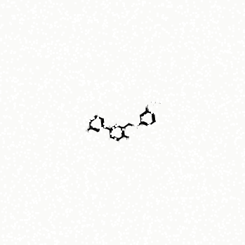 COc1cccc(NCc2cc(-c3cccc(F)c3)ccc2F)c1